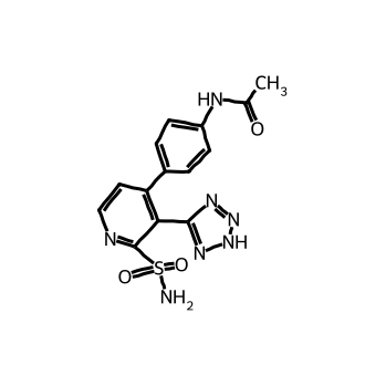 CC(=O)Nc1ccc(-c2ccnc(S(N)(=O)=O)c2-c2nn[nH]n2)cc1